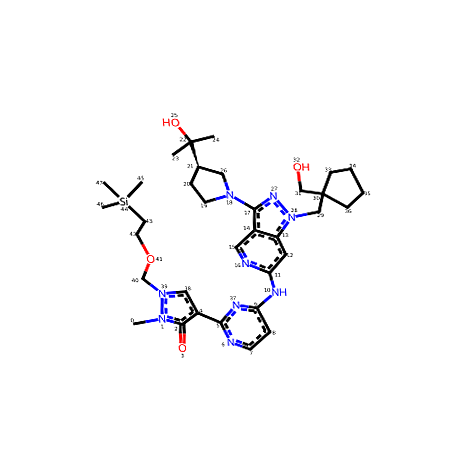 Cn1c(=O)c(-c2nccc(Nc3cc4c(cn3)c(N3CC[C@@H](C(C)(C)O)C3)nn4CC3(CO)CCCC3)n2)cn1COCC[Si](C)(C)C